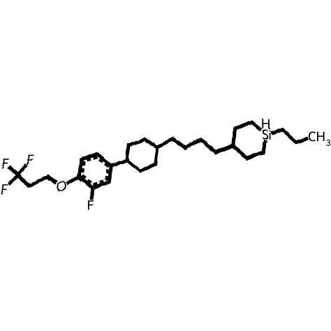 CCC[SiH]1CCC(CCCCC2CCC(c3ccc(OCCC(F)(F)F)c(F)c3)CC2)CC1